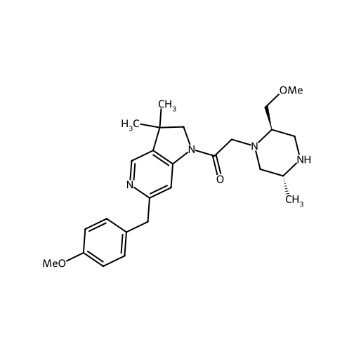 COC[C@H]1CN[C@H](C)CN1CC(=O)N1CC(C)(C)c2cnc(Cc3ccc(OC)cc3)cc21